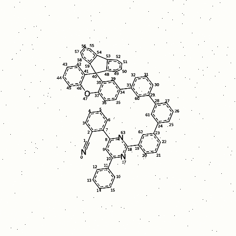 N#Cc1ccccc1-c1cc(-c2ccccc2)nc(-c2cccc(-c3cccc(-c4cccc(-c5ccc6c(c5)C5(c7ccccc7O6)c6ccccc6-c6ccccc65)c4)c3)c2)n1